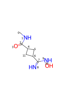 CNC(=O)C1CC(C(=N)NO)C1